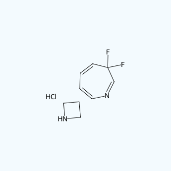 C1CNC1.Cl.FC1(F)C=CC=CN=C1